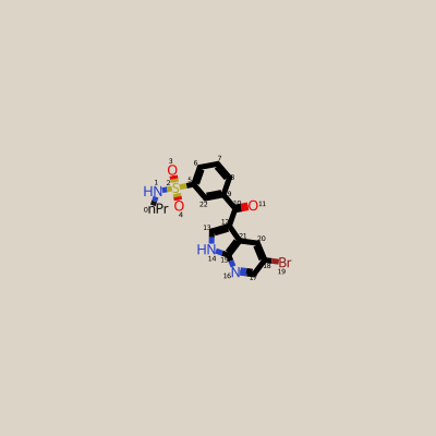 CCCNS(=O)(=O)c1cccc(C(=O)c2c[nH]c3ncc(Br)cc23)c1